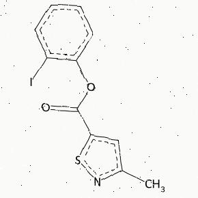 Cc1cc(C(=O)Oc2ccccc2I)sn1